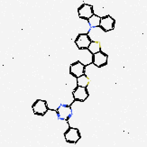 c1ccc(-c2nc(-c3ccccc3)nc(-c3ccc4sc5c(-c6cccc7sc8c(-n9c%10ccccc%10c%10ccccc%109)cccc8c67)cccc5c4c3)n2)cc1